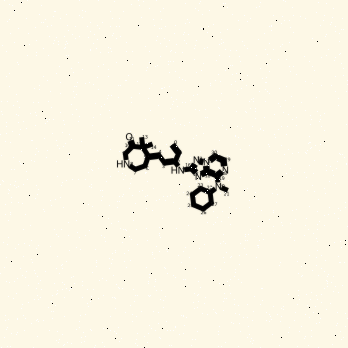 C=C/C(=C\C=C1/CCNCC(=O)C1(C)C)Nc1nc2c(N(C)C3CCCCC3)nccn2n1